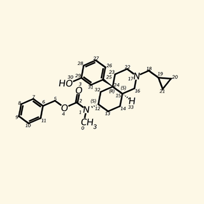 CN(C(=O)OCc1ccccc1)[C@H]1CC[C@@H]2CN(CC3CC3)CC[C@@]2(c2cccc(O)c2)C1